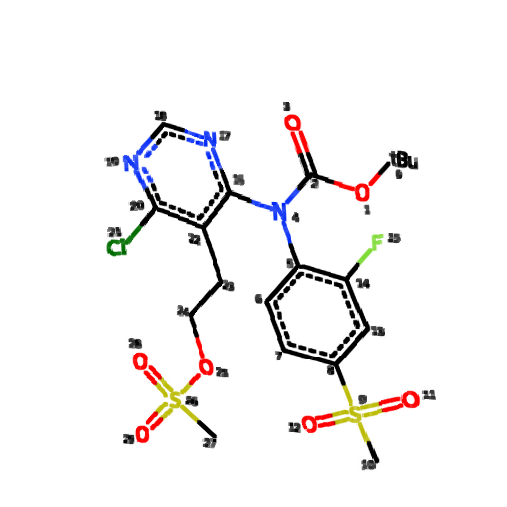 CC(C)(C)OC(=O)N(c1ccc(S(C)(=O)=O)cc1F)c1ncnc(Cl)c1CCOS(C)(=O)=O